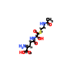 CC(=O)NCCSC(=O)[C@@H](O)NC(=O)CCC(N)C(=O)O